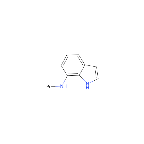 CC(C)Nc1cccc2cc[nH]c12